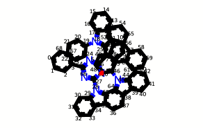 c1ccc(-c2nc(-c3cccc4c5ccccc5n(-c5ccccc5)c34)nc(-n3c4ccccc4c4ccc5c6ccccc6n(-c6cccc7c8ccccc8c8ccccc8c67)c5c43)n2)cc1